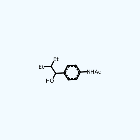 CCC(CC)C(O)c1ccc(NC(C)=O)cc1